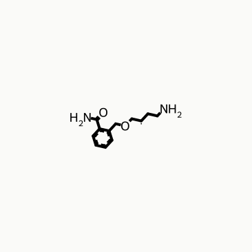 NCC[CH]COCc1ccccc1C(N)=O